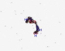 Cc1c(OC2CCC(CCCCN3CCN(Cc4nc5cc(C6CCC(=O)NC6=O)ccc5[nH]4)CC3)CC2)cccc1-c1ccc(N2CCc3cccc(C(=O)Nc4nc5ccccc5s4)c3C2)nc1C(=O)OC(C)(C)C